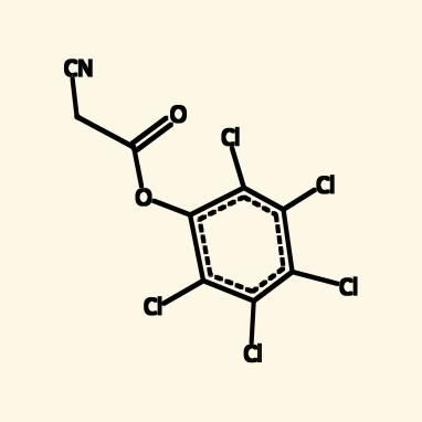 N#CCC(=O)Oc1c(Cl)c(Cl)c(Cl)c(Cl)c1Cl